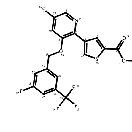 COC(=O)c1cc(-c2ncc(F)cc2OCc2cc(F)cc(C(F)(F)F)c2)cs1